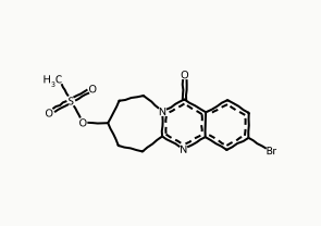 CS(=O)(=O)OC1CCc2nc3cc(Br)ccc3c(=O)n2CC1